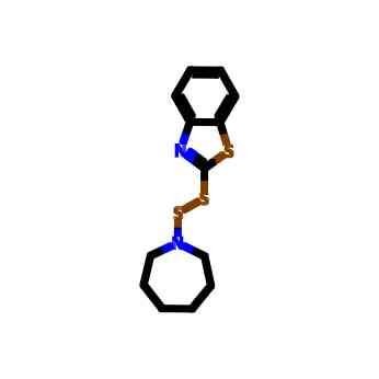 c1ccc2sc(SSN3CCCCCC3)nc2c1